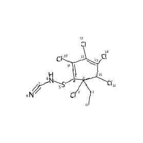 CCC1(Cl)C(SNC#N)=C(Cl)C(Cl)=C(Cl)C1Cl